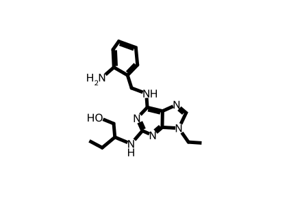 CCC(CO)Nc1nc(NCc2ccccc2N)c2ncn(CC)c2n1